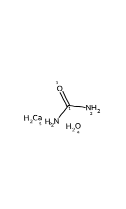 NC(N)=O.O.[CaH2]